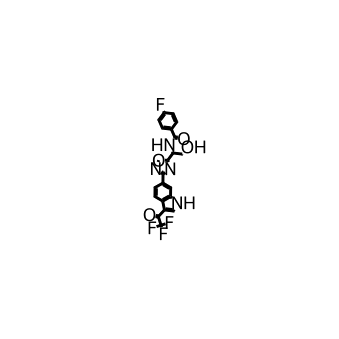 O=C(NC(CO)c1nc(-c2ccc3c(C(=O)C(F)(F)F)c[nH]c3c2)no1)c1ccc(F)cc1